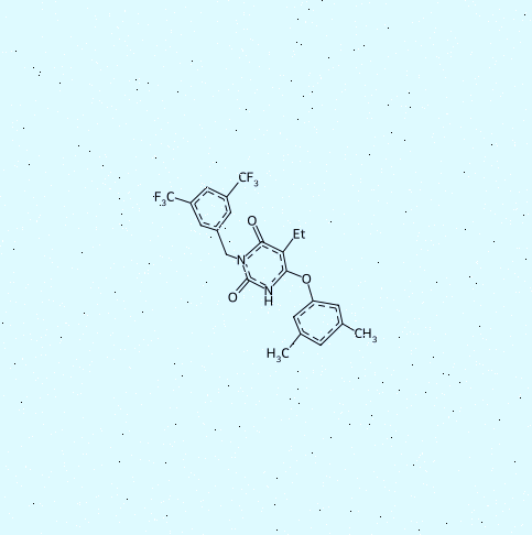 CCc1c(Oc2cc(C)cc(C)c2)[nH]c(=O)n(Cc2cc(C(F)(F)F)cc(C(F)(F)F)c2)c1=O